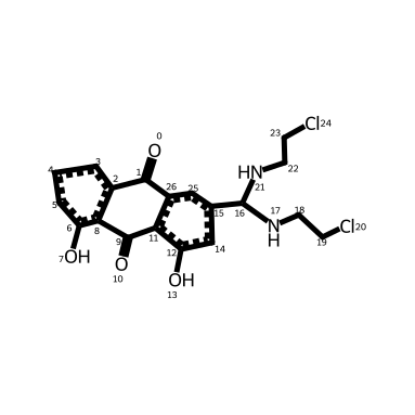 O=C1c2cccc(O)c2C(=O)c2c(O)cc(C(NCCCl)NCCCl)cc21